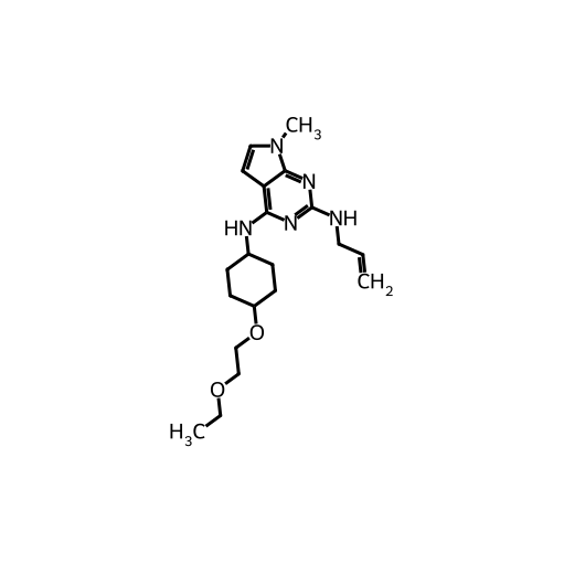 C=CCNc1nc(NC2CCC(OCCOCC)CC2)c2ccn(C)c2n1